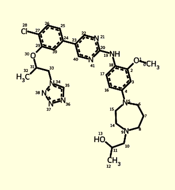 COc1cc(N2CCCN(CC(C)O)CC2)ccc1Nc1ncc(-c2ccc(Cl)c(OC(C)Cn3cnnn3)c2)cn1